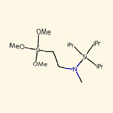 CO[Si](CCN(C)[Si](C(C)C)(C(C)C)C(C)C)(OC)OC